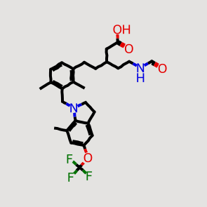 Cc1ccc(CCC(CCNC=O)CC(=O)O)c(C)c1CN1CCc2cc(OC(F)(F)F)cc(C)c21